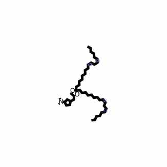 CCCCC/C=C\C/C=C\CCCCCCCCC1(CCCCCCCC/C=C\C/C=C\CCCCC)OCC(CC2CCC(N(C)C)C2)O1